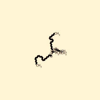 CCCCC/C=C\C/C=C\C/C=C\C/C=C\CCCCCC(=O)OC[C@H](COP(=O)([O-])OCC[N+](C)(C)C)OC(=O)CCCC/C=C\C/C=C\C/C=C\CCCCC